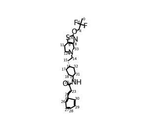 CC(F)(F)COc1nc2c(s1)CCN(CC[C@H]1CC[C@H](NC(=O)/C=C/c3ccccc3)CC1)C2